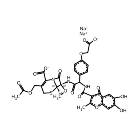 CO[C@@]1(NC(=O)C(NC(=O)c2c(C)oc3cc(O)c(O)cc3c2=O)c2ccc(OCC(=O)[O-])cc2)C(=O)N2C(C(=O)[O-])=C(COC(C)=O)CS[C@H]21.[Na+].[Na+]